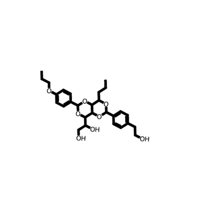 CCCOc1ccc(C2OC(C(O)CO)C3OC(c4ccc(CCO)cc4)OC(CCC)C3O2)cc1